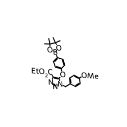 CCOC(=O)c1nnn(Cc2ccc(OC)cc2)c1Oc1ccc(B2OC(C)(C)C(C)(C)O2)cc1